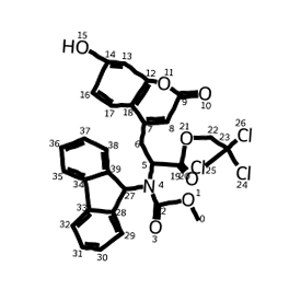 COC(=O)N(C(Cc1cc(=O)oc2cc(O)ccc12)C(=O)OCC(Cl)(Cl)Cl)C1c2ccccc2-c2ccccc21